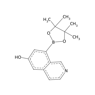 CC1(C)OB(c2cc(O)cc3ccncc23)OC1(C)C